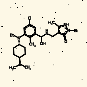 CCn1[nH]c(C)c(CNC(O)c2cc(Cl)cc(N(CC)[C@H]3CC[C@H](N(C)C)CC3)c2C)c1=O